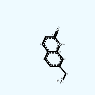 CCc1ccc2ccc(=O)oc2c1